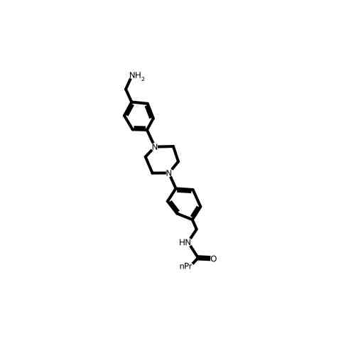 CCCC(=O)NCc1ccc(N2CCN(c3ccc(CN)cc3)CC2)cc1